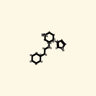 c1cc([C@H]2CCNC[C@@H]2OCCC2CCCCC2)co1